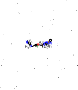 Cc1cc(N(C)c2nc(C(=O)O)c(CCCOc3ccc(C#CCN(C)Cc4ccc(C5(C(F)(F)F)N=N5)cc4)cc3F)s2)nnc1Nc1nc2ccccc2s1